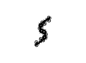 COC(=O)CCCC(=O)Oc1ccc(OC2CCC3CC(Oc4ccc(OC(=O)CCCC(=O)OC)cc4)CCC3C2)cc1